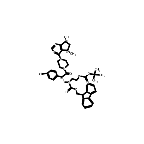 C[C@@H]1C[C@@H](O)c2ncnc(N3CCN(C(=O)[C@H](CN(CCNC(=O)OC(C)(C)C)C(=O)OCC4c5ccccc5-c5ccccc54)c4ccc(Cl)cc4)CC3)c21